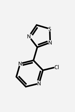 Clc1nccnc1-c1ncsn1